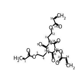 C=CC(=O)OCCn1c(=O)n(CCOC(=O)C=C)c(=O)n(OC(=O)C=C)c1=O